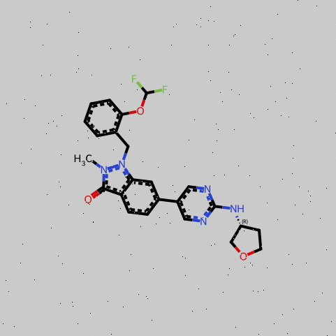 Cn1c(=O)c2ccc(-c3cnc(N[C@@H]4CCOC4)nc3)cc2n1Cc1ccccc1OC(F)F